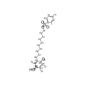 Cc1ccc(S(=O)(=O)OCCCCCCCCCCc2c(C)n(O)c(C)c(C)c2=O)cc1